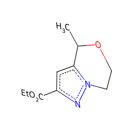 CCOC(=O)c1cc2n(n1)CCOC2C